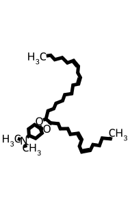 CCCCC/C=C\C/C=C\CCCCCCCC1OC2(CCC(N(C)C)CC2)OC1CCCC/C=C\C/C=C\CCCCC